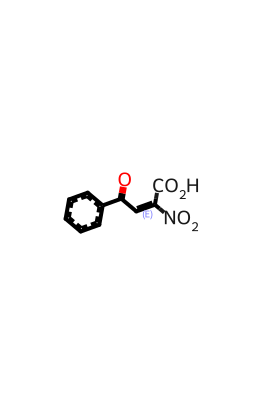 O=C(O)/C(=C\C(=O)c1ccccc1)[N+](=O)[O-]